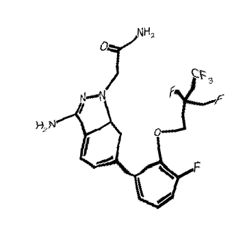 NC(=O)CN1N=C(N)C2=CC=C(c3cccc(F)c3OCC(F)(F)C(F)(F)F)CC21